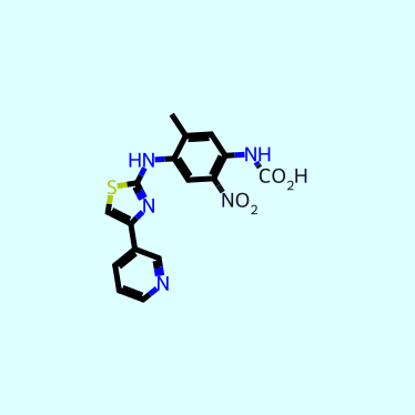 Cc1cc(NC(=O)O)c([N+](=O)[O-])cc1Nc1nc(-c2cccnc2)cs1